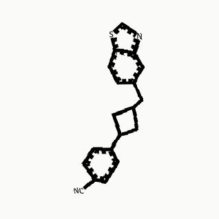 N#Cc1ccc(C2C[C](Cc3ccc4scnc4c3)C2)cc1